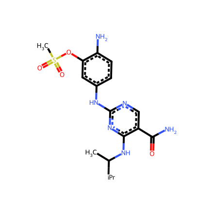 CC(C)C(C)Nc1nc(Nc2ccc(N)c(OS(C)(=O)=O)c2)ncc1C(N)=O